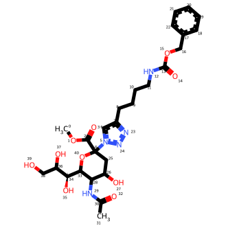 COC(=O)C1(n2cc(CCCCNC(=O)OCc3ccccc3)nn2)CC(O)C(NC(C)=O)C([C@@H](O)C(O)CO)O1